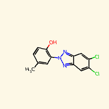 Cc1ccc(O)c(-n2nc3cc(Cl)c(Cl)cc3n2)c1